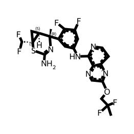 CC(F)(F)COc1cnc2c(Nc3cc(F)c(F)c([C@]4(C)N=C(N)S[C@@]5(C(F)F)C[C@@H]45)c3)nccc2n1